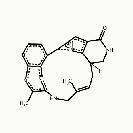 C/C1=C\C[C@@H]2CNC(=O)c3cc([nH]c32)-c2cccc3nc(C)c(nc23)NC1